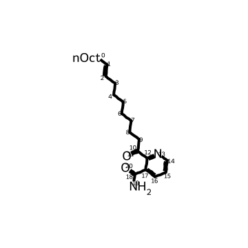 CCCCCCCCC=CCCCCCCCC(=O)c1ncccc1C(N)=O